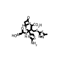 Cc1nnc(SCC2=C(C(=O)O)N3C(=O)C[C@H]3SC2(NC(=O)/C=N/O)c2csc(N)n2)s1